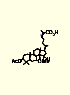 COC1CC2C(C)(CCC(OC(C)=O)C2(C)C)C2=C1C1(C)C(O)CC(C(C)CC/C=C(/C)C(=O)O)C1(C)CC2